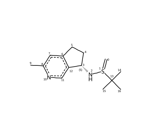 C=S(N[C@H]1CCc2cc(C)ncc21)C(C)(C)C